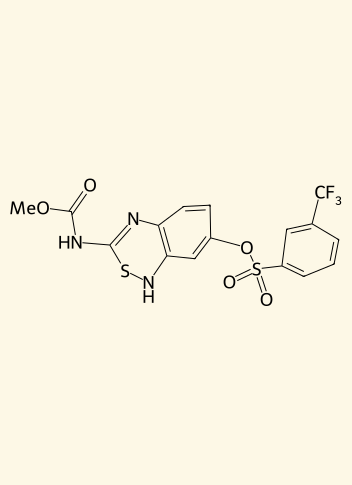 COC(=O)NC1=Nc2ccc(OS(=O)(=O)c3cccc(C(F)(F)F)c3)cc2NS1